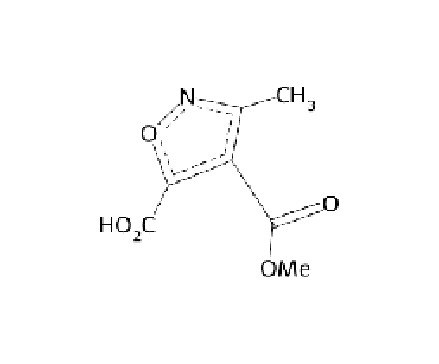 COC(=O)c1c(C)noc1C(=O)O